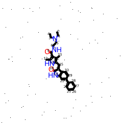 CCN(CC)CCNC(=O)c1c(C)[nH]c(C=C2C(=O)Nc3cc(-c4ccccc4)ccc32)c1C